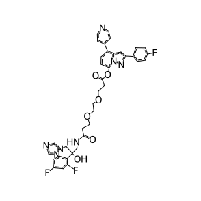 O=C(CCOCCOCCC(=O)Oc1ccc(-c2ccncc2)c2cc(-c3ccc(F)cc3)nn12)NCC(O)(Cn1cncn1)c1ccc(F)cc1F